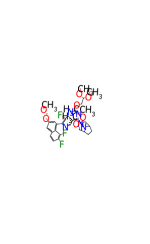 COCOc1cc(-c2ncc3c(N4CC5CCC(C4)N5C(=O)OC(C)(C)C)nc(OCC(OC)OC)nc3c2F)c2c(F)c(F)ccc2c1